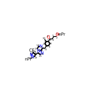 CCCOCCCC(=O)c1ccc(Cc2nccn3c(-c4cn(CCC)nc4C(F)(F)F)cnc23)cc1C